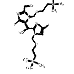 C[Si](C)(C)CCOCn1cc(I)nc1C(O)c1c(I)nc(C=O)n1COCC[Si](C)(C)C